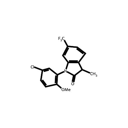 COc1ccc(Cl)cc1N1C(=O)C(C)c2ccc(C(F)(F)F)cc21